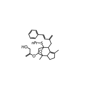 C=C(/C=C/c1ccccc1)CC1C2=C(C)CCC2C2(C)OC1(SCCC)CC2OC(=C)CO